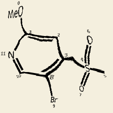 COc1cc(S(C)(=O)=O)c(Br)cn1